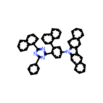 c1ccc(-c2nc(-c3ccc(-n4c5cc6ccccc6cc5c5cc6ccccc6cc54)cc3-c3cccc4ccccc34)nc(-c3cccc4ccccc34)n2)cc1